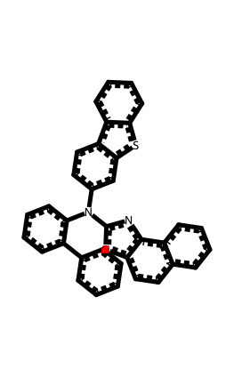 c1ccc(-c2ccccc2N(c2ccc3c(c2)sc2ccccc23)c2nc3c(ccc4ccccc43)o2)cc1